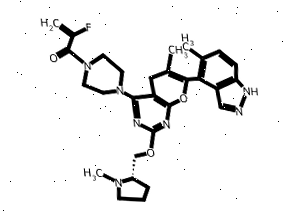 C=C(F)C(=O)N1CCN(c2nc(OC[C@@H]3CCCN3C)nc3c2CC(C)=C(c2c(C)ccc4[nH]ncc24)O3)CC1